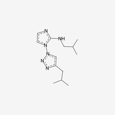 CC(C)CNc1nccn1-n1cc(CC(C)C)nn1